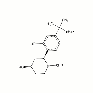 CCCCCCC(C)(C)c1ccc([C@@H]2C[C@H](O)CCN2C=O)c(O)c1